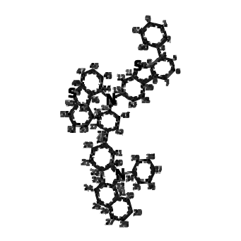 c1ccc(-c2cccc3c2sc2cc(N(c4ccc(-c5ccc6c7ccc8ccccc8c7n(-c7ccccc7)c6c5)cc4)c4cccc5sc6ccccc6c45)ccc23)cc1